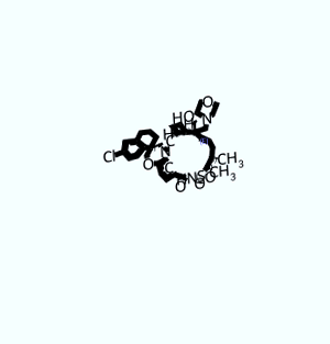 C[C@@H]1[C@@H](C)C/C=C/[C@@](CO)(CN2CCOCC2)[C@@H]2CC[C@H]2CN2C[C@@]3(CCCc4cc(Cl)ccc43)COc3ccc(cc32)C(=O)NS1(=O)=O